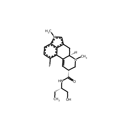 CC[C@@H](CO)NC(=O)[C@@H]1C=C2c3c(F)ccc4c3c(cn4C)C[C@H]2N(C)C1